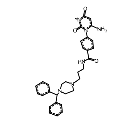 Cn1c(=O)cc(N)n(-c2ccc(C(=O)NCCCN3CCN(C(c4ccccc4)c4ccccc4)CC3)cc2)c1=O